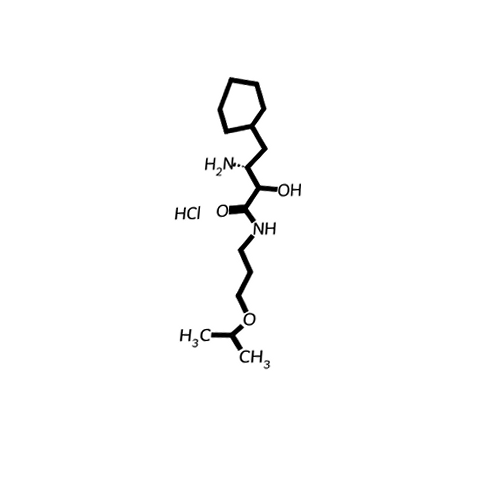 CC(C)OCCCNC(=O)C(O)[C@H](N)CC1CCCCC1.Cl